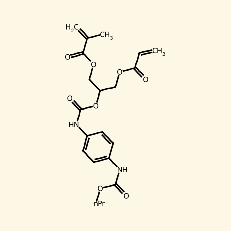 C=CC(=O)OCC(COC(=O)C(=C)C)OC(=O)Nc1ccc(NC(=O)OCCC)cc1